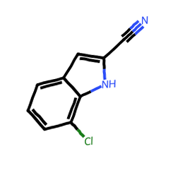 N#Cc1cc2cccc(Cl)c2[nH]1